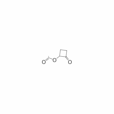 O=[C]OC1CCC1=O